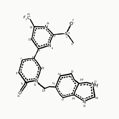 C[S+]([O-])c1nc(-c2ccc(=O)n(Cc3ccc4[nH]cnc4c3)c2)cc(C(F)(F)F)n1